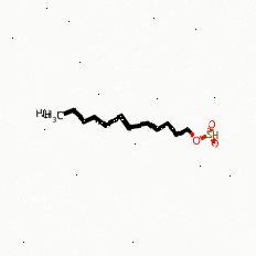 CCCCCCCCCCCCO[SH](=O)=O.[LiH]